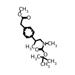 COC(=O)Cc1ccc(C(C)CN(C)C(=O)OC(C)(C)C)cc1